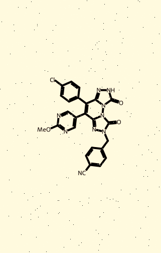 COc1ncc(-c2c(-c3ccc(Cl)cc3)c3n[nH]c(=O)n3n3c(=O)n(Cc4ccc(C#N)cc4)nc23)cn1